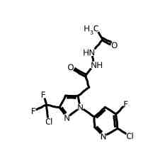 CC(=O)NNC(=O)Cc1cc(C(F)(F)Cl)nn1-c1cnc(Cl)c(F)c1